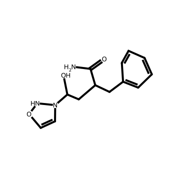 NC(=O)C(Cc1ccccc1)CC(O)N1C=CON1